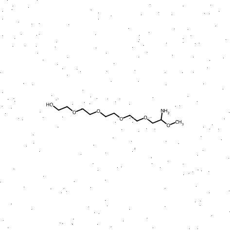 COC(N)COCCOCCOCCOCCO